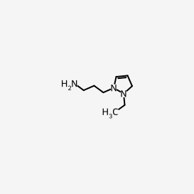 CCN1CC=CN1CCCN